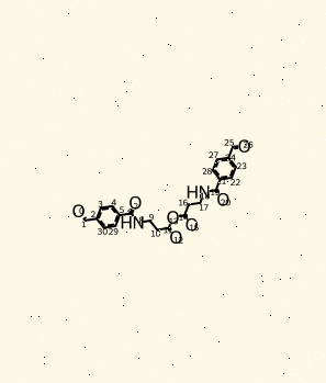 O=Cc1ccc(C(=O)NCCC(=O)OC(=O)CCNC(=O)c2ccc(C=O)cc2)cc1